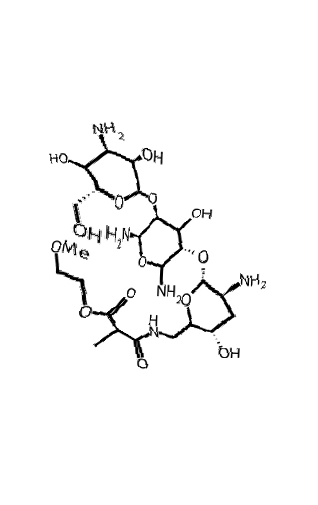 COCCOC(=O)C(C)C(=O)NCC1O[C@H](O[C@@H]2C(N)O[C@@H](N)[C@@H](OC3O[C@H](CO)C(O)[C@@H](N)[C@H]3O)C2O)[C@@H](N)C[C@@H]1O